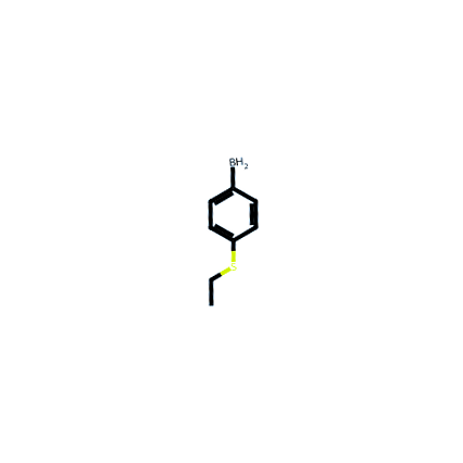 Bc1ccc(SCC)cc1